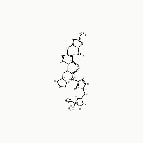 Cn1nc(C(F)(F)F)cc1Oc1cnn(C(CC2CCCC2)C(=O)Nc2ccn(CC3COC(C)(C)O3)n2)c(=O)c1